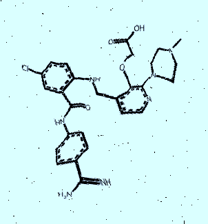 CN1CCN(c2nccc(CNc3ccc(Cl)cc3C(=O)Nc3ccc(C(=N)N)cc3)c2OCC(=O)O)CC1